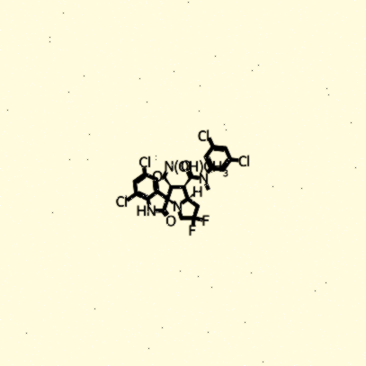 CN(O)C(=O)[C@H]1[C@@H](C(=O)N(C)c2cc(Cl)cc(Cl)c2)[C@H]2CC(F)(F)CN2[C@]12C(=O)Nc1c(Cl)cc(Cl)cc12